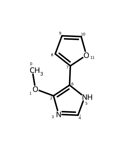 COc1n[c][nH]c1-c1ccco1